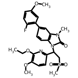 CCOc1nc(C(CS(C)(=O)=O)n2c(=O)n(C)c3cc(-c4cc(OC)ccc4F)ccc32)ccc1OC